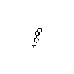 CCCC1CCC2CC(c3ccc4cc(Cl)ccc4c3)CCC2C1